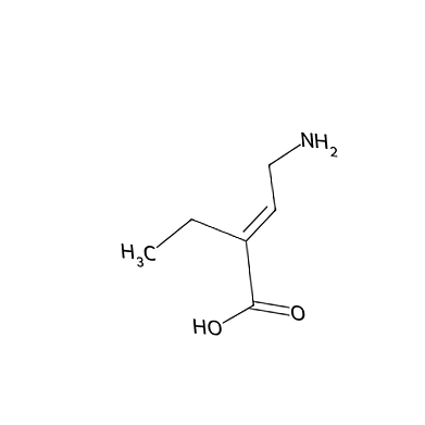 CC/C(=C\CN)C(=O)O